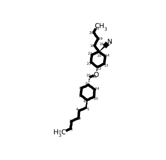 CCCCCC[C@H]1CC[C@H](CO[C@H]2CC[C@@](C#N)(CCCC)CC2)CC1